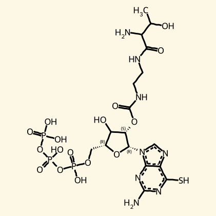 CC(O)C(N)C(=O)NCCNC(=O)O[C@H]1C(O)[C@@H](COP(=O)(O)OP(=O)(O)OP(=O)(O)O)O[C@H]1n1cnc2c(S)nc(N)nc21